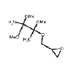 COC(C)(OCC1CO1)C([SiH3])(OC)OC